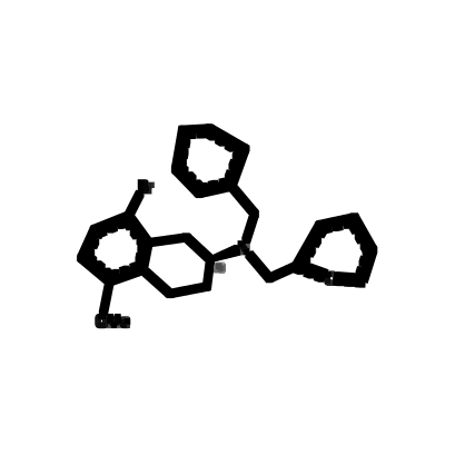 COc1ccc(Br)c2c1CC[C@H](N(Cc1ccccc1)Cc1ccccc1)C2